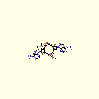 C=P1(S)CCC2CC(n3cnc4c(N)ncnc43)C(C)C2CP(=C)(S)CCC2CC(n3cnc4c(N)ncnc43)CC2C1